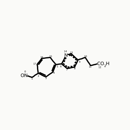 O=NCC1=CC=C(c2ccc(CCC(=O)O)cn2)CC=C1